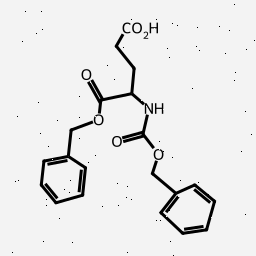 O=C(O)CCC(NC(=O)OCc1ccccc1)C(=O)OCc1ccccc1